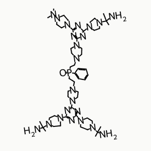 CN(C)N1CCN(c2nc(N3CCN(CCP(=O)(CCN4CCN(c5nc(N6CCN(C(C)(C)N)CC6)nc(N6CCN(C(C)(C)N)CC6)n5)CC4)c4ccccc4)CC3)nc(N3CCN(C(C)(C)N)CC3)n2)CC1